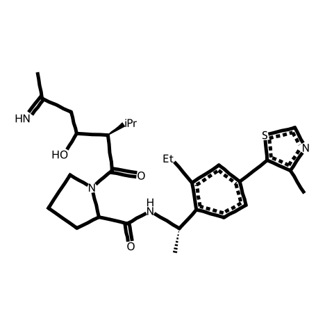 CCc1cc(-c2scnc2C)ccc1[C@H](C)NC(=O)C1CCCN1C(=O)[C@H](C(C)C)C(O)CC(C)=N